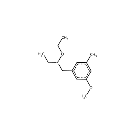 CCOP(CC)Cc1cc(C)cc(OC)c1